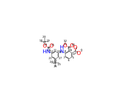 COC(=O)c1cccc(Nc2cc(NC(=O)OC(C)(C)C)cc(C(C)(C)C)c2)c1C(=O)OC